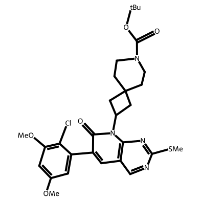 COc1cc(OC)c(Cl)c(-c2cc3cnc(SC)nc3n(C3CC4(CCN(C(=O)OC(C)(C)C)CC4)C3)c2=O)c1